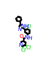 O=C(Nc1ccc(Cl)c(-c2ncc(-c3ccccc3)[nH]2)c1)c1cnc(Cl)c(Cl)c1